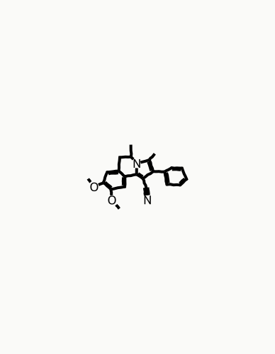 COc1cc2c(cc1OC)-c1c(C#N)c(-c3ccccc3)c(C)n1C(C)C2